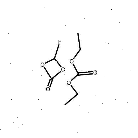 CCOC(=O)OCC.O=C1OC(F)O1